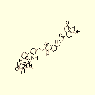 C[N+]1(C)[C@@H]2CC(OC(=O)Nc3cc(CCC(=O)Nc4ccc(CNC[C@H](O)c5ccc(O)c6[nH]c(=O)ccc56)cc4Br)ccc3-c3ccccc3)C[C@H]1[C@@H]1O[C@@H]12